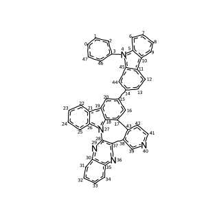 c1ccc(-n2c3ccccc3c3ccc(-c4cc5c6c(c4)c4ccccc4n6-c4nc6ccccc6nc4-c4cnccc4-5)cc32)cc1